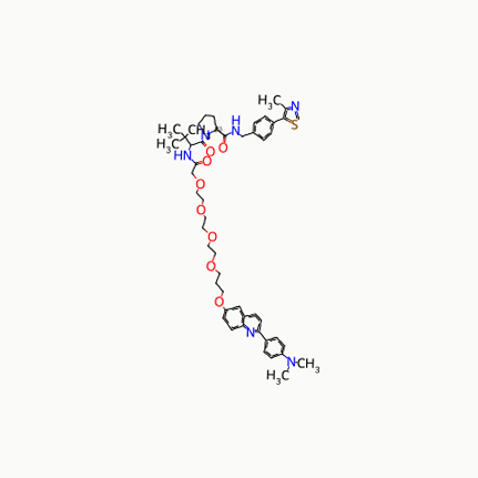 Cc1ncsc1-c1ccc(CNC(=O)[C@@H]2CCCN2C(=O)C(NC(=O)COCCOCCOCCOCCCOc2ccc3nc(-c4ccc(N(C)C)cc4)ccc3c2)C(C)(C)C)cc1